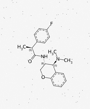 C[C@H](C(=O)N[C@H]1COc2ccccc2[C@@H]1N(C)C)c1ccc(F)cc1